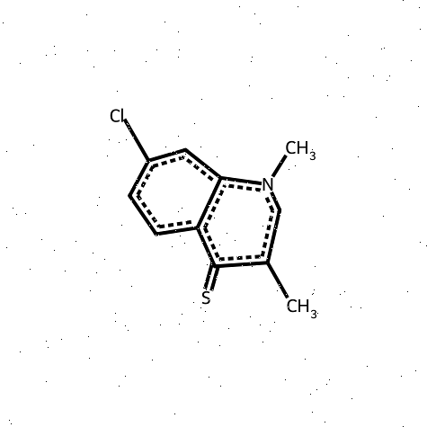 Cc1cn(C)c2cc(Cl)ccc2c1=S